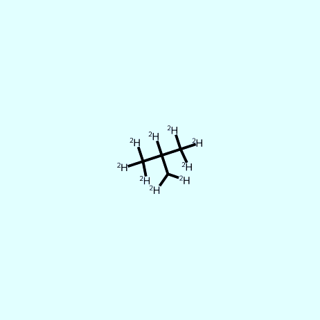 [2H]C([2H])C([2H])(C([2H])([2H])[2H])C([2H])([2H])[2H]